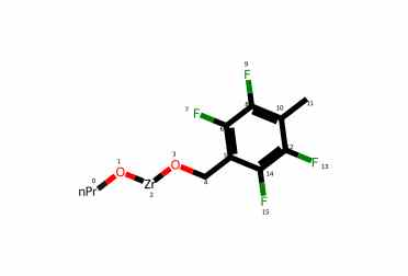 CCC[O][Zr][O]Cc1c(F)c(F)c(C)c(F)c1F